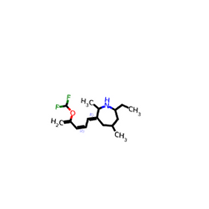 C=C(/C=C\C=C1/CC(C)CC(CC)NC1C)OC(F)F